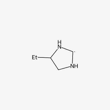 CCC1CN[CH]N1